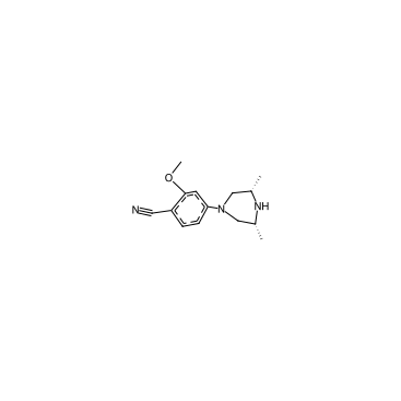 COc1cc(N2C[C@@H](C)N[C@@H](C)C2)ccc1C#N